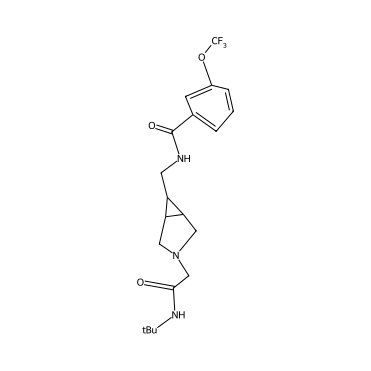 CC(C)(C)NC(=O)CN1CC2C(CNC(=O)c3cccc(OC(F)(F)F)c3)C2C1